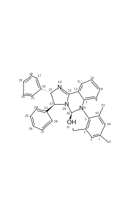 Cc1cc(C)c(N2c3ccccc3C3=N[C@@H](c4ccccc4)[C@H](c4ccccc4)N3[C@@H]2O)c(C)c1